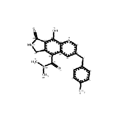 Cc1ccc(Cc2cnc3c(O)c4c(c(C(=O)N(C)C)c3c2)CNC4=O)cc1